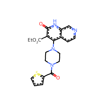 CCOC(=O)c1c(N2CCN(C(=O)c3cccs3)CC2)c2ccncc2[nH]c1=O